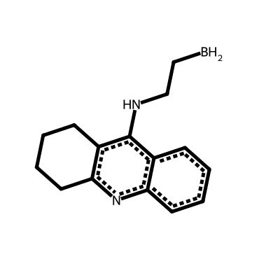 BCCNc1c2c(nc3ccccc13)CCCC2